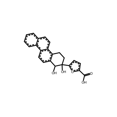 O=C(O)c1ccc(C2(O)CCc3c(ccc4c3ccc3ccccc34)C2O)o1